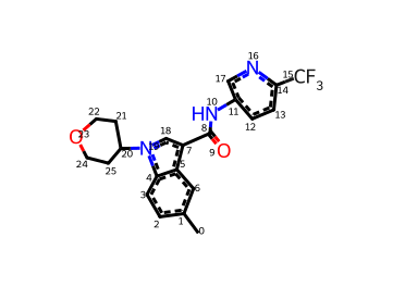 Cc1ccc2c(c1)c(C(=O)Nc1ccc(C(F)(F)F)nc1)cn2C1CCOCC1